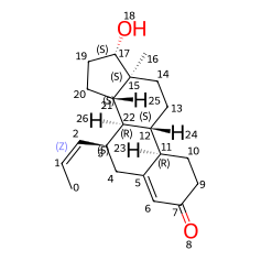 C/C=C\[C@@H]1CC2=CC(=O)CC[C@@H]2[C@H]2CC[C@]3(C)[C@@H](O)CC[C@H]3[C@@H]21